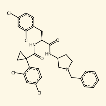 O=C(NC1CCN(Cc2ccccc2)C1)[C@H](Cc1ccc(Cl)cc1Cl)NC(=O)C1(c2ccc(Cl)cc2Cl)CC1